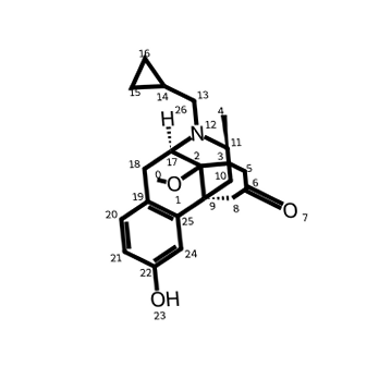 COC12[C@@H](C)CC(=O)C[C@@]13CCN(CC1CC1)[C@@H]2Cc1ccc(O)cc13